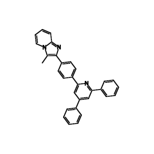 Cc1c(-c2ccc(-c3cc(-c4ccccc4)cc(-c4ccccc4)n3)cc2)nc2ccccn12